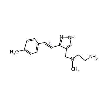 Cc1ccc(/C=C/c2n[nH]cc2CN(C)CCN)cc1